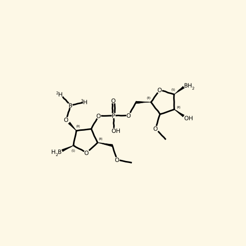 [2H]B([3H])O[C@H]1C(OP(=O)(O)OC[C@H]2O[C@@H](B)[C@@H](O)C2OC)[C@@H](COC)O[C@H]1B